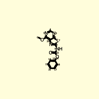 COc1ncnc2sc(NC(=O)Oc3ccccc3)nc12